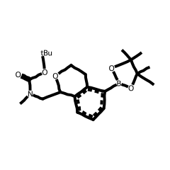 CN(CC1OCCc2c(B3OC(C)(C)C(C)(C)O3)cccc21)C(=O)OC(C)(C)C